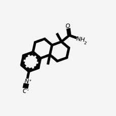 [C-]#[N+]c1ccc2c(c1)C1(C)CCCC(C)(C(N)=O)C1CC2